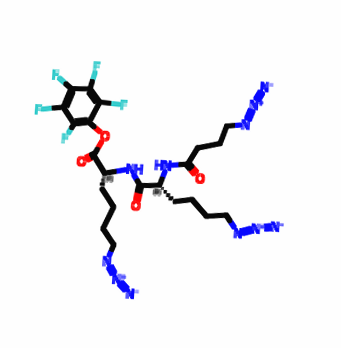 [N-]=[N+]=NCCCC[C@@H](NC(=O)CCCN=[N+]=[N-])C(=O)N[C@H](CCCCN=[N+]=[N-])C(=O)Oc1c(F)c(F)c(F)c(F)c1F